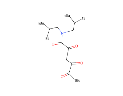 CCCCC(CC)CN(CC(CC)CCCC)C(=O)C(=O)CC(=O)C(=O)C(C)(C)C